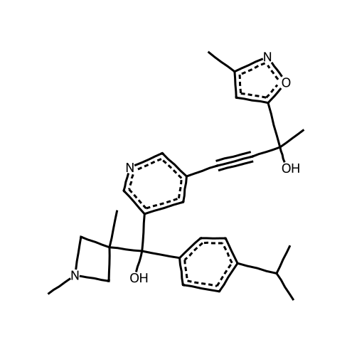 Cc1cc(C(C)(O)C#Cc2cncc(C(O)(c3ccc(C(C)C)cc3)C3(C)CN(C)C3)c2)on1